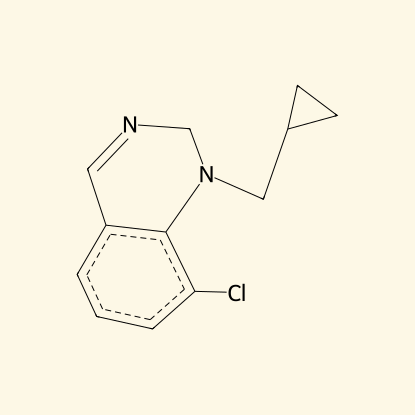 Clc1cccc2c1N(CC1CC1)CN=C2